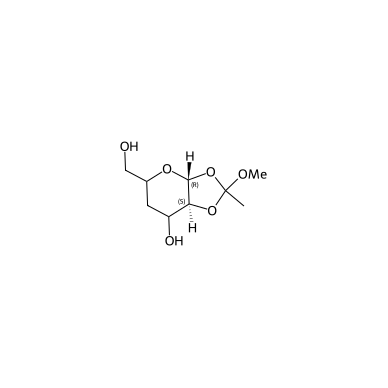 COC1(C)O[C@H]2OC(CO)CC(O)[C@@H]2O1